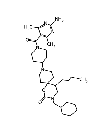 CCCCC1CN(CC2CCCCC2)C(=O)OC12CCN(C1CCN(C(=O)c3c(C)nc(N)nc3C)CC1)CC2